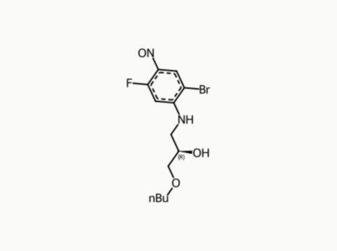 CCCCOC[C@H](O)CNc1cc(F)c(N=O)cc1Br